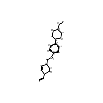 C=CC1C=CC(COc2ccc(C3CCC(CC)CC3)cc2)CC1